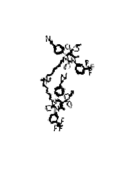 CCOC(=O)C1=C(C)N(c2cccc(C(F)(F)F)c2)C(=O)N(CCCCC[N+](C)(C)CCCCCN2C(=O)N(c3cccc(C(F)(F)F)c3)C(C)=C(C(=O)OCC)[C@H]2c2ccc(C#N)cc2)[C@@H]1c1ccc(C#N)cc1